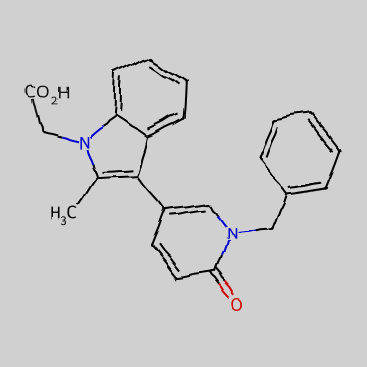 Cc1c(-c2ccc(=O)n(Cc3ccccc3)c2)c2ccccc2n1CC(=O)O